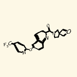 O=C(c1ccc2cc(Oc3ccc(C(F)(F)F)cn3)ccc2n1)N1CCC2(COC2)C1